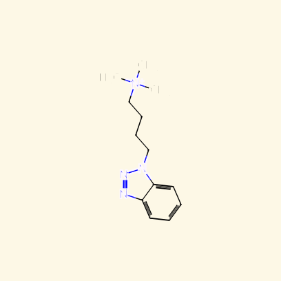 C[N+](C)(C)CCCCn1nnc2ccccc21